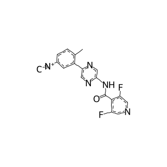 [C-]#[N+]c1ccc(C)c(-c2cnc(NC(=O)c3c(F)cncc3F)cn2)c1